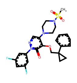 CS(=O)(=O)N1CCN(c2cnn(-c3cc(F)cc(F)c3)c(=O)c2OCC2(c3ccccc3)CC2)CC1